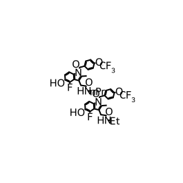 CCCNC(=O)Cc1c(C)n(C(=O)c2ccc(OC(F)(F)F)cc2)c2ccc(O)c(F)c12.CCNC(=O)Cc1c(C)n(C(=O)c2ccc(OC(F)(F)F)cc2)c2ccc(O)c(F)c12